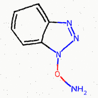 NOn1nnc2ccccc21